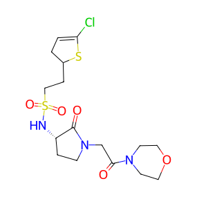 O=C(CN1CC[C@H](NS(=O)(=O)CCC2CC=C(Cl)S2)C1=O)N1CCOCC1